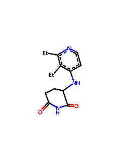 CCc1nccc(NC2CCC(=O)NC2=O)c1CC